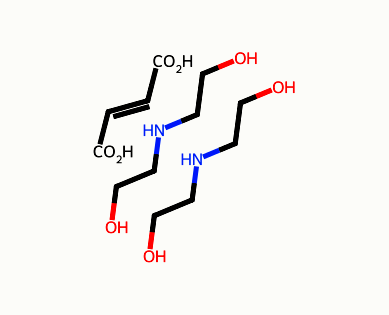 O=C(O)C=CC(=O)O.OCCNCCO.OCCNCCO